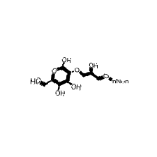 CCCCCCCCCOCC(O)CO[C@@H]1[C@@H](O)[C@@H](O)[C@@H](CO)O[C@H]1O